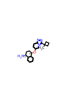 CC1(c2nnc3ccc(O[C@@H]4CC[C@H](N)c5ccccc54)cn23)CCC1